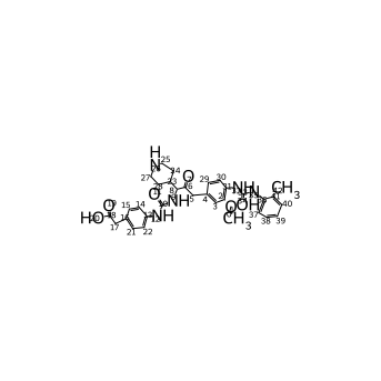 COc1cc(CC(=O)C(NC(=O)Nc2ccc(CC(=O)O)cc2)C2CCNCC2)ccc1NC(=O)Nc1ccccc1C